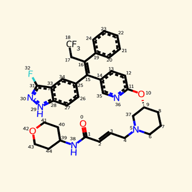 O=C(/C=C/CN1CCC[C@@H](Oc2ccc(/C(=C(/CC(F)(F)F)c3ccccc3)c3ccc4[nH]nc(F)c4c3)cn2)C1)NC1CCOCC1